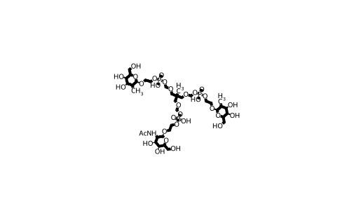 CC(=O)NC1[C@H](OCCOP(=O)(O)OCOCC(C)(COCOP(=O)(O)OCCO[C@@H]2OC(CO)[C@H](O)[C@H](O)C2C)COCOP(=O)(O)OCCO[C@@H]2OC(CO)[C@H](O)[C@H](O)C2C)OC(CO)[C@H](O)[C@@H]1O